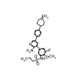 CCCS(=O)(=O)Nc1cc(-c2cc(-c3ccc(C4CCN(C)CC4)cc3)cnc2N)cc(F)c1OC